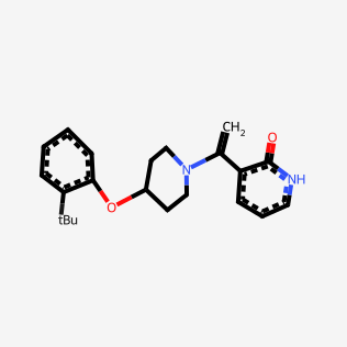 C=C(c1ccc[nH]c1=O)N1CCC(Oc2ccccc2C(C)(C)C)CC1